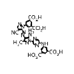 Cc1nn(-c2cnc(Nc3cc(C(=O)O)cc(C(=O)O)c3)cn2)c(N)c1N=Nc1c(C#N)cnn1-c1cc(C(=O)O)cc(C(=O)O)c1